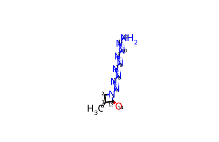 CC1CN(/N=N/N=N/N=N/N=N/N)C1=O